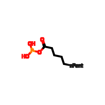 CCCCCCCCCC(=O)OP(O)O